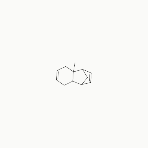 CC12CC=CCC1C1C=CC2C1